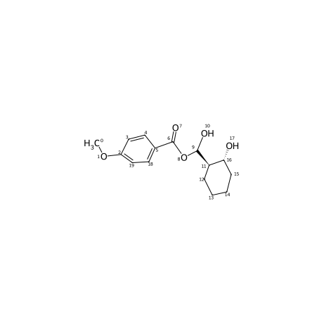 COc1ccc(C(=O)OC(O)[C@@H]2CCCC[C@H]2O)cc1